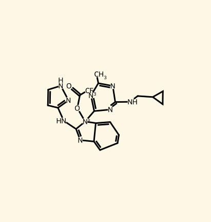 Cc1nc(NCC2CC2)nc([N+]2(OC(=O)C(F)(F)F)C(Nc3cc[nH]n3)=Nc3ccccc32)n1